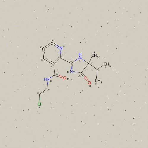 CC(C)C1(C)NC(c2ncccc2C(=O)NCCCl)=NC1=O